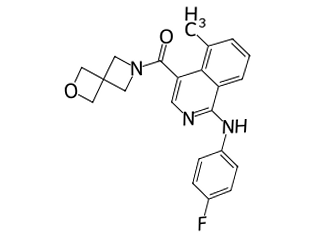 Cc1cccc2c(Nc3ccc(F)cc3)ncc(C(=O)N3CC4(COC4)C3)c12